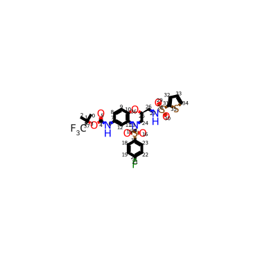 CC(C)(OC(=O)Nc1ccc2c(c1)N(S(=O)(=O)c1ccc(F)cc1)C[C@H](CNS(=O)(=O)c1cccs1)O2)C(F)(F)F